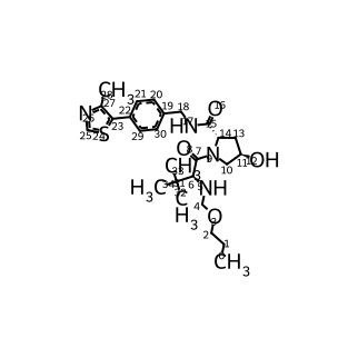 CCCOCN[C@H](C(=O)N1C[C@H](O)C[C@H]1C(=O)NCc1ccc(-c2scnc2C)cc1)C(C)(C)C